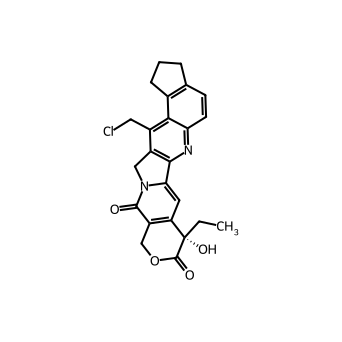 CC[C@@]1(O)C(=O)OCc2c1cc1n(c2=O)Cc2c-1nc1ccc3c(c1c2CCl)CCC3